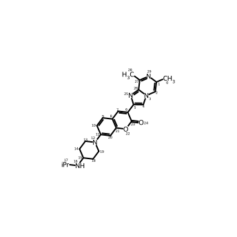 Cc1cn2cc(-c3cc4ccc(N5CCC(NC(C)C)CC5)cc4oc3=O)nc2c(C)n1